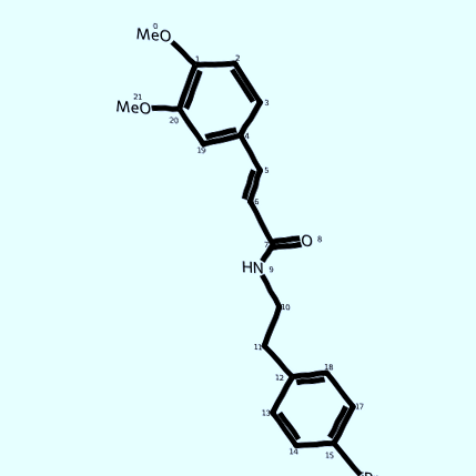 COc1ccc(C=CC(=O)NCCc2ccc(C(C)C)cc2)cc1OC